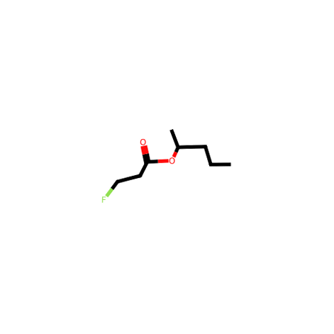 CCCC(C)OC(=O)CCF